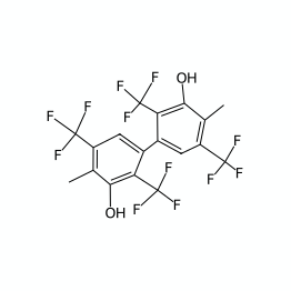 Cc1c(C(F)(F)F)cc(-c2cc(C(F)(F)F)c(C)c(O)c2C(F)(F)F)c(C(F)(F)F)c1O